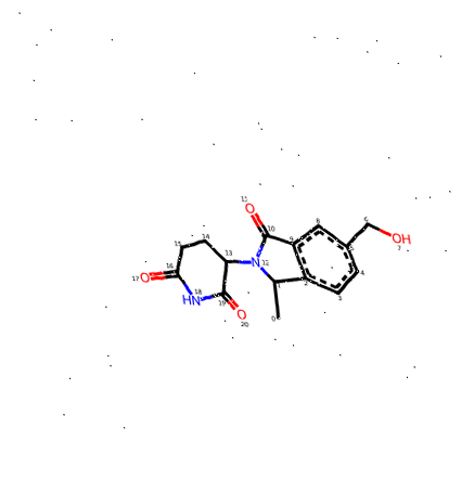 CC1c2ccc(CO)cc2C(=O)N1C1CCC(=O)NC1=O